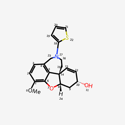 COc1ccc2c3c1O[C@H]1C[C@@H](O)C=C[C@@]31CCN(c1cccs1)C2